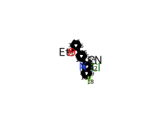 CCOc1ccccc1-c1ccc(-c2nc3ccc(F)cc3c(Cl)c2C#N)cc1